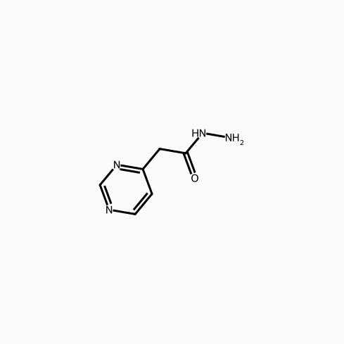 NNC(=O)Cc1ccncn1